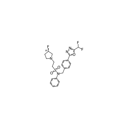 O=S(=O)(CCN1CC[C@@H](F)C1)N(Cc1ccc(-c2nnc(C(F)F)o2)cc1)c1ccccc1